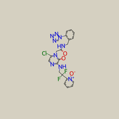 O=C(Cn1c(Cl)cnc(NCC(F)(F)c2cccc[n+]2[O-])c1=O)NCc1ccccc1-n1cnnn1